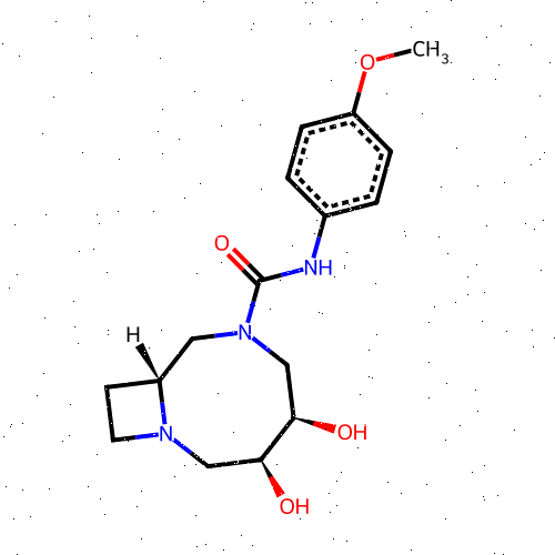 COc1ccc(NC(=O)N2C[C@H]3CCN3C[C@H](O)[C@H](O)C2)cc1